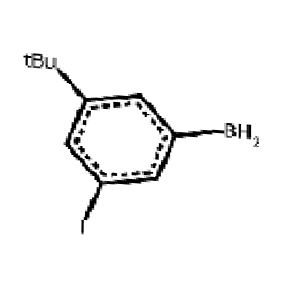 Bc1cc(I)cc(C(C)(C)C)c1